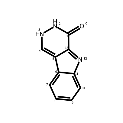 O=c1[nH][nH]cc2c3ccccc3nc1-2